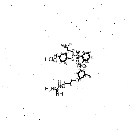 Cc1cc(OCCCONC(=N)N)cc(OS(=O)(=O)c2ccccc2S(=O)(=O)N(CCN(C)C)Cc2ccccc2)c1.Cl.Cl